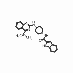 CN(C)c1nc(N[C@H]2CC[C@@H](NC(=O)c3cc4c([nH]3)=CCCC=4)CC2)nc2ccccc12